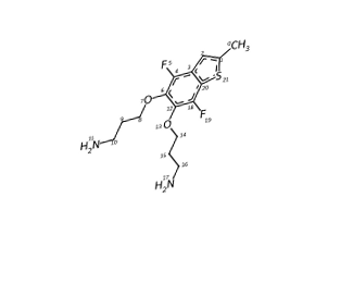 Cc1cc2c(F)c(OCCCN)c(OCCCN)c(F)c2s1